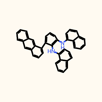 c1cc(Nc2cccc3ccccc23)c(Nc2cccc3ccccc23)c(-c2cccc3cc4ccccc4cc23)c1